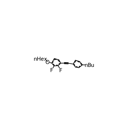 CCCCCCOc1ccc(C#Cc2ccc(CCCC)cc2)c(F)c1F